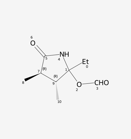 CCC1(OC=O)NC(=O)[C@H](C)[C@H]1C